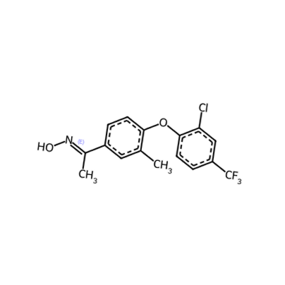 C/C(=N\O)c1ccc(Oc2ccc(C(F)(F)F)cc2Cl)c(C)c1